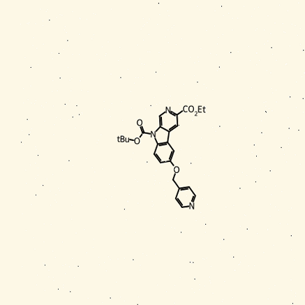 CCOC(=O)c1cc2c3cc(OCc4ccncc4)ccc3n(C(=O)OC(C)(C)C)c2cn1